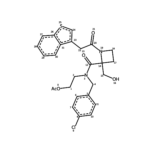 CC(=O)OCCN(Cc1ccc(Cl)cc1)C(=O)C1(CO)CCN1C(=O)Cc1csc2ccccc12